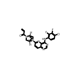 C=CC(=O)N1C[C@@H]2C[C@H]1CN2c1ccc2ncnc(Nc3ccc(Cl)c(F)c3F)c2n1